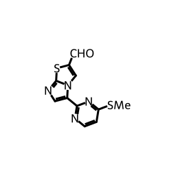 CSc1ccnc(-c2cnc3sc(C=O)cn23)n1